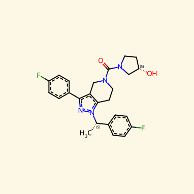 C[C@@H](c1ccc(F)cc1)n1nc(-c2ccc(F)cc2)c2c1CCN(C(=O)N1CC[C@H](O)C1)C2